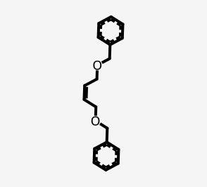 C(=C/COCc1ccccc1)/COCc1ccccc1